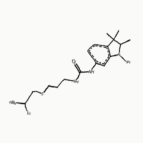 CCCCC(CC)CSCCCNC(=O)Nc1ccc2c(c1)N(C(C)C)C(C)C2(C)C